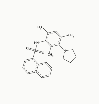 Cc1cc(C)c(N2CCCC2)c(C)c1NS(=O)(=O)c1cccc2ccccc12